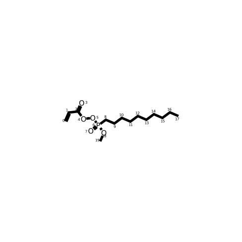 C=CC(=O)OOP(=O)(CCCCCCCCCC)OC